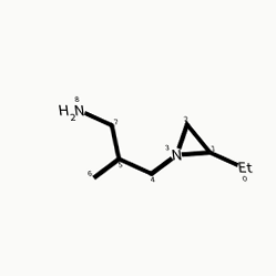 CCC1CN1CC(C)CN